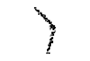 COCCOCCOCCOCCOC(=O)/C=C\C(=O)OCCOCCOCCOCCOC